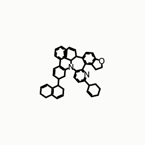 C1=CC2c3ccc4c(c3-c3nc(C5C=CCCC5)ccc3N(C3=C(c5ccccc5)C=CC(C5CC=CC6=C5C=CCC6)C3)C2C=C1)CCO4